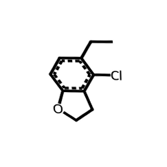 CCc1ccc2c(c1Cl)CCO2